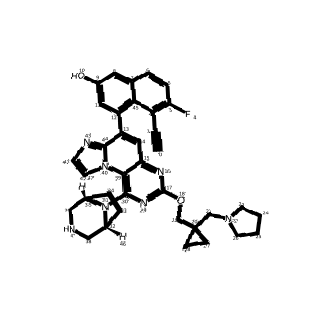 C#Cc1c(F)ccc2cc(O)cc(-c3cc4nc(OCC5(CN6CCCC6)CC5)nc(N5[C@@H]6CC[C@H]5CNC6)c4n4ccnc34)c12